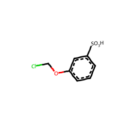 O=S(=O)(O)c1cccc(OCCl)c1